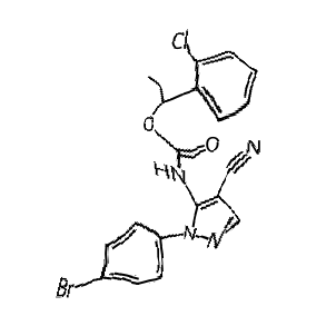 CC(OC(=O)Nc1c(C#N)cnn1-c1ccc(Br)cc1)c1ccccc1Cl